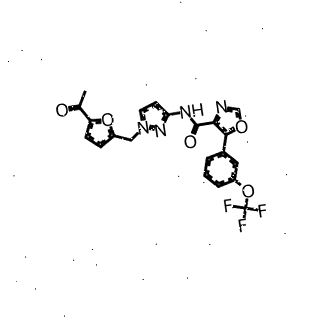 CC(=O)c1ccc(Cn2ccc(NC(=O)c3ncoc3-c3cccc(OC(F)(F)F)c3)n2)o1